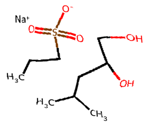 CC(C)CC(O)CO.CCCS(=O)(=O)[O-].[Na+]